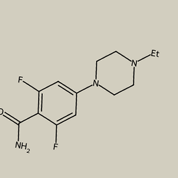 CCN1CCN(c2cc(F)c(C(N)=O)c(F)c2)CC1